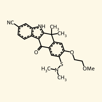 COCCOc1cc2c(cc1SN(C)C)C(=O)c1c([nH]c3cc(C#N)ccc13)C2(C)C